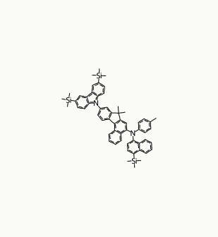 Cc1ccc(N(c2ccc([Si](C)(C)C)c3ccccc23)c2cc3c(c4ccccc24)-c2ccc(-n4c5ccc([Si](C)(C)C)cc5c5cc([Si](C)(C)C)ccc54)cc2C3(C)C)cc1